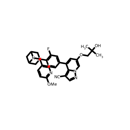 COc1ccc(CN2C3CC2CN(c2ncc(-c4cc(OCC(C)(C)O)cn5ncc(C#N)c45)cc2F)C3)cn1